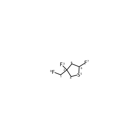 FCC1(F)CSC(F)C1